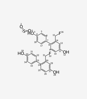 O=S=O.Oc1ccc(-c2ccc(O)cc2CF)cc1.Oc1ccc(-c2ccc(O)cc2CF)cc1